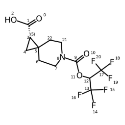 O=C(O)[C@H]1CC12CCN(C(=O)OC(C(F)(F)F)C(F)(F)F)CC2